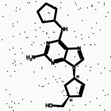 Nc1nc(NC2CCCC2)c2ncn([C@H]3C=C[C@@H](CO)C3)c2n1